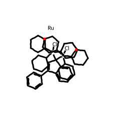 ClP(C1CCCCC1)(C1CCCCC1)(C1CCCCC1)C1(P(Cl)(C2CCCCC2)(C2CCCCC2)C2CCCCC2)C=C(c2ccccc2)c2ccccc21.[Ru]